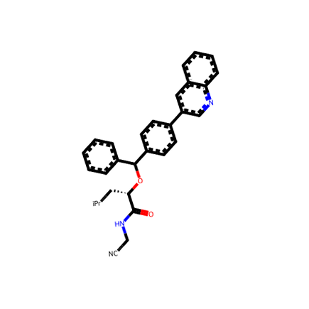 CC(C)C[C@H](OC(c1ccccc1)c1ccc(-c2cnc3ccccc3c2)cc1)C(=O)NCC#N